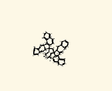 O=C(Cl)CC1(CC2(CC(=O)Cl)c3ccc4ccccc4c3C3N=c4ccccc4=CC32)c2cc3ccccc3nc2-c2c1ccc1ccccc21